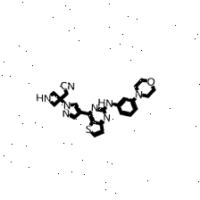 N#CCC1(n2cc(-c3nc(Nc4cccc(N5CCOCC5)c4)nc4ccsc34)cn2)CNC1